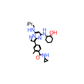 Cc1cc(-c2cnn3c(NCC(C)C)cc(N[C@H]4CCCC[C@H]4O)nc23)ccc1C(=O)NC1CC1